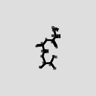 C=C(CC(=C)NCC(C)C(C)F)NCCC